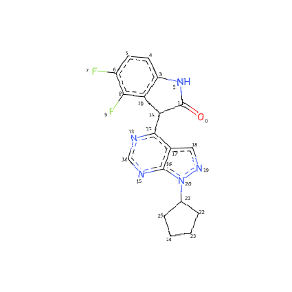 O=C1Nc2ccc(F)c(F)c2C1c1ncnc2c1cnn2C1CCCC1